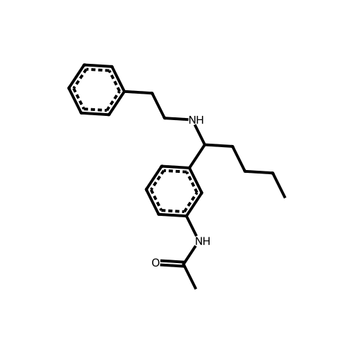 CCCCC(NCCc1ccccc1)c1cccc(NC(C)=O)c1